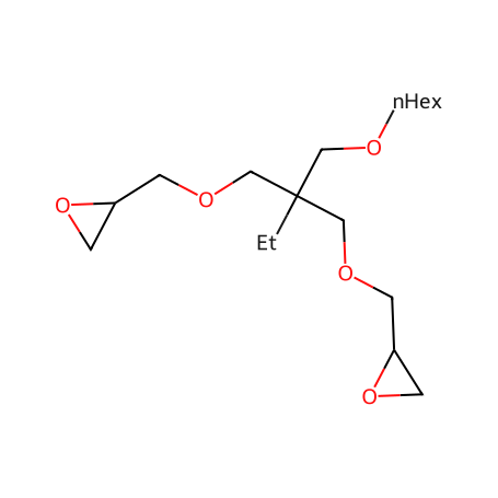 CCCCCCOCC(CC)(COCC1CO1)COCC1CO1